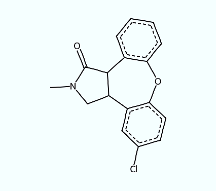 CN1CC2c3cc(Cl)ccc3Oc3ccccc3C2C1=O